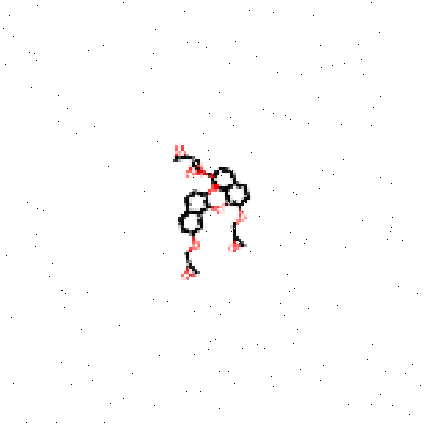 c1cc2ccc(OCC3CO3)c(Oc3c(OCC4CO4)ccc4ccc(OCC5CO5)cc34)c2cc1OCC1CO1